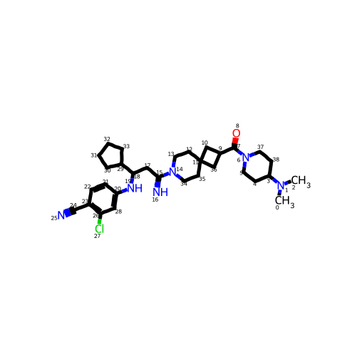 CN(C)C1CCN(C(=O)C2CC3(CCN(C(=N)CC(Nc4ccc(C#N)c(Cl)c4)C4CCCC4)CC3)C2)CC1